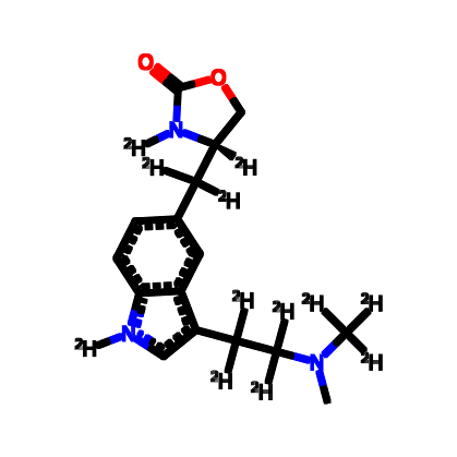 [2H]N1C(=O)OC[C@]1([2H])C([2H])([2H])c1ccc2c(c1)c(C([2H])([2H])C([2H])([2H])N(C)C([2H])([2H])[2H])cn2[2H]